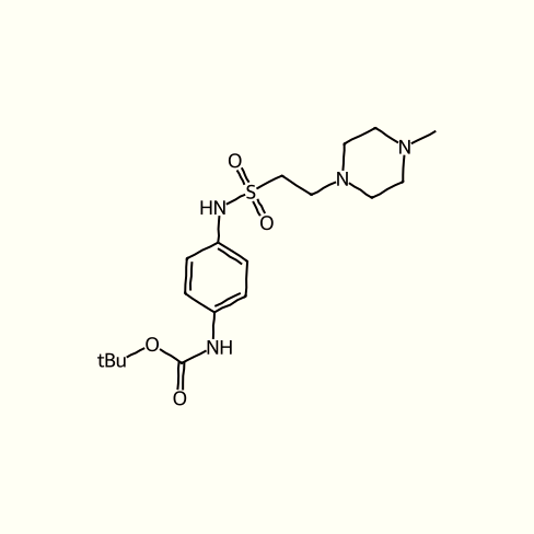 CN1CCN(CCS(=O)(=O)Nc2ccc(NC(=O)OC(C)(C)C)cc2)CC1